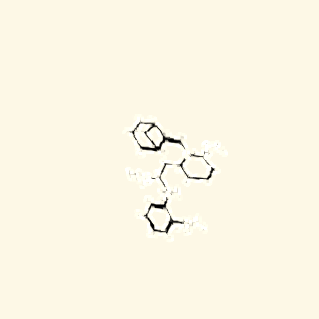 C[C@@H](C[C@@H]1CCC[C@H](C)N1C=C1C2CCCC1C2)Nc1ccccc1N